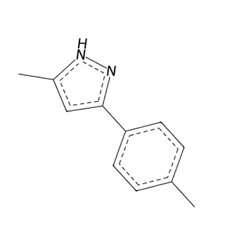 Cc1ccc(-c2cc(C)[nH]n2)cc1